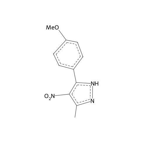 COc1ccc(-c2[nH]nc(C)c2[N+](=O)[O-])cc1